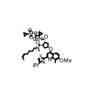 C/C=C\CCCCN(C)C(=O)[C@@H]1C[C@H](Oc2cc(-c3nc(C(C)C)cs3)nc3c(C)c(OC)ccc23)C[C@H]1C(=O)NC1(C(=O)NS(=O)(=O)C2CC2)CC1